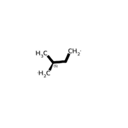 [CH2]C[C@@H]([CH2])C